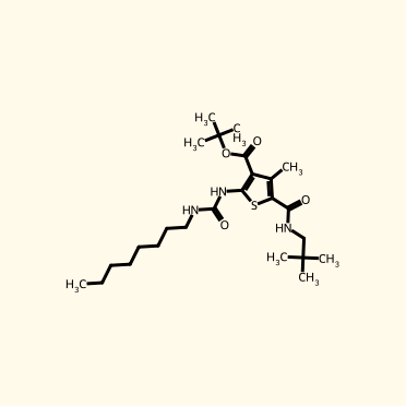 CCCCCCCCNC(=O)Nc1sc(C(=O)NCC(C)(C)C)c(C)c1C(=O)OC(C)(C)C